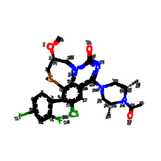 CO[C@@H]1CSc2c(-c3ccc(F)cc3F)c(Cl)cc3c(N4C[C@@H](C)N(C(C)=O)[C@@H](C)C4)nc(=O)n(c23)C1